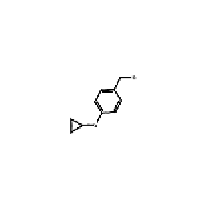 BrCc1ccc(SC2CC2)cc1